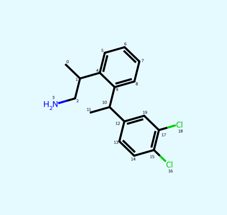 CC(CN)c1ccccc1C(C)c1ccc(Cl)c(Cl)c1